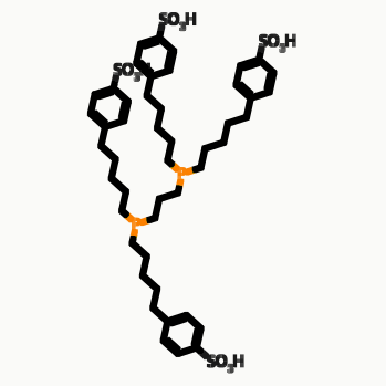 O=S(=O)(O)c1ccc(CCCCCP(CCCCCc2ccc(S(=O)(=O)O)cc2)CCCP(CCCCCc2ccc(S(=O)(=O)O)cc2)CCCCCc2ccc(S(=O)(=O)O)cc2)cc1